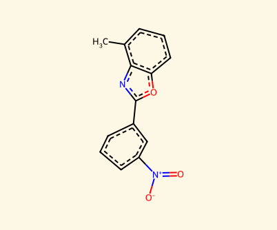 Cc1cccc2oc(-c3cccc([N+](=O)[O-])c3)nc12